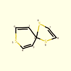 C1=CC2(C=CS1)SC=CS2